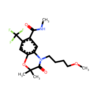 CNC(=O)c1cc2c(cc1C(F)(F)F)OC(C)(C)C(=O)N2CCCCOC